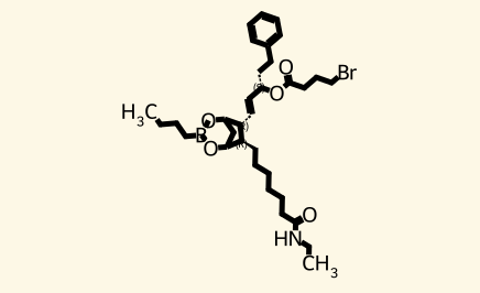 CCCCB1OC2CC(O1)[C@H](CCCCCCC(=O)NCC)[C@H]2C=C[C@H](CCc1ccccc1)OC(=O)CCCBr